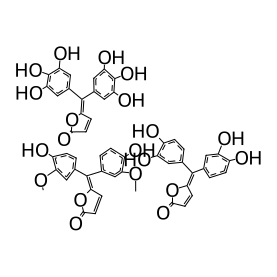 COc1cc(C(=C2C=CC(=O)O2)c2ccc(O)c(OC)c2)ccc1O.O=C1C=CC(=C(c2cc(O)c(O)c(O)c2)c2cc(O)c(O)c(O)c2)O1.O=C1C=CC(=C(c2ccc(O)c(O)c2)c2ccc(O)c(O)c2)O1